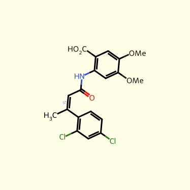 COc1cc(NC(=O)/C=C(/C)c2ccc(Cl)cc2Cl)c(C(=O)O)cc1OC